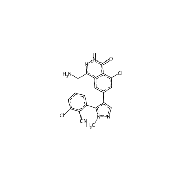 Cn1ncc(-c2cc(Cl)c3c(=O)[nH]nc(CN)c3c2)c1-c1cccc(Cl)c1C#N